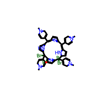 CN1C=CC(C2=C3C=CC(Br)(N3)C(Br)(C3=CCN(C)C=C3)C3=NC(Br)(C=C3)C(Br)(C3=CCN(C)C=C3)c3ccc([nH]3)C(C3=CCN(C)C=C3)=C3C=CC2=N3)=CC1